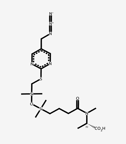 C[C@@H](C(=O)O)N(C)C(=O)CCC[Si](C)(C)O[Si](C)(C)CSc1ncc(CN=[N+]=[N-])cn1